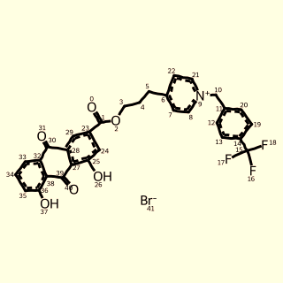 O=C(OCCCc1cc[n+](Cc2ccc(C(F)(F)F)cc2)cc1)c1cc(O)c2c(c1)C(=O)c1cccc(O)c1C2=O.[Br-]